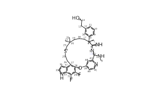 CN/C1=N\C(=N)[C@@](C)(c2cccc(CCO)c2)CCCC(C)(C)CSCCc2c(c(F)c(F)c3[nH]ccc23)Oc2ccnc1c2